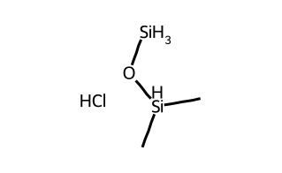 C[SiH](C)O[SiH3].Cl